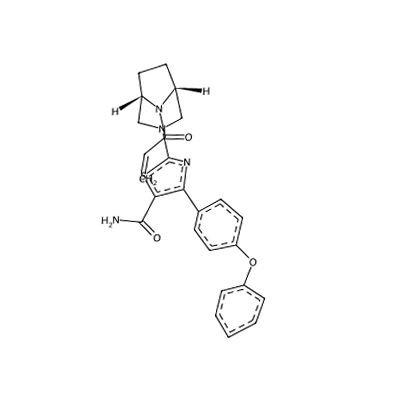 C=CC(=O)N1[C@@H]2CC[C@H]1CN(c1nc(-c3ccc(Oc4ccccc4)cc3)c(C(N)=O)s1)C2